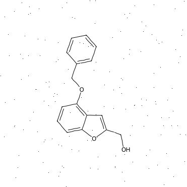 OCc1cc2c(OCc3ccccc3)cccc2o1